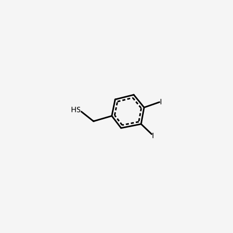 SCc1ccc(I)c(I)c1